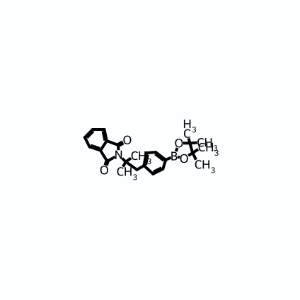 CC(C)(Cc1ccc(B2OC(C)(C)C(C)(C)O2)cc1)N1C(=O)c2ccccc2C1=O